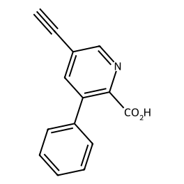 C#Cc1cnc(C(=O)O)c(-c2ccccc2)c1